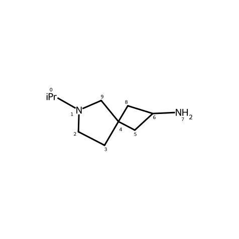 CC(C)N1CCC2(CC(N)C2)C1